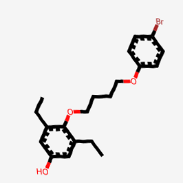 CCc1cc(O)cc(CC)c1OCCCCOc1ccc(Br)cc1